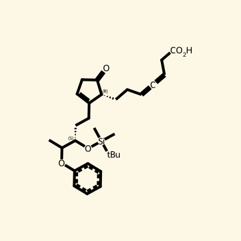 CC(Oc1ccccc1)[C@H](CCC1=CCC(=O)[C@@H]1CCC=C=CCC(=O)O)O[Si](C)(C)C(C)(C)C